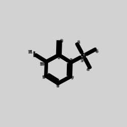 C=C1C([Si](C)(C)C)=CC=CC1I